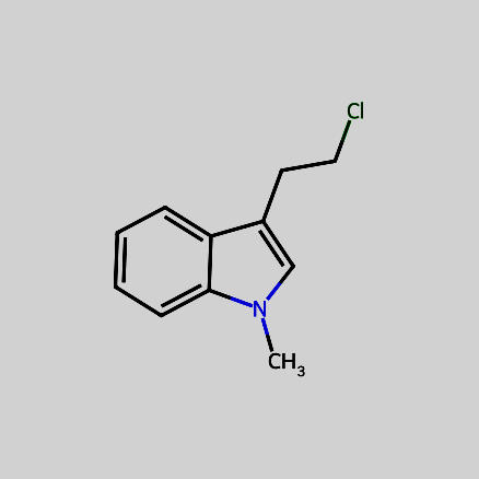 Cn1cc(CCCl)c2ccccc21